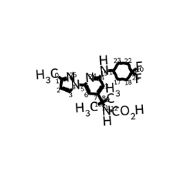 Cc1ccn(-c2cc(C(C)(C)NC(=O)O)cc(NC3CCC(F)(F)CC3)n2)n1